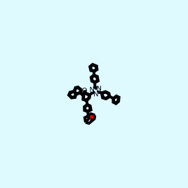 c1ccc(-c2ccc(-c3nc(-c4ccc(-c5ccccc5)cc4)nc(-c4cc(-c5ccc(C67CC8CC(CC(C8)C6)C7)cc5)cc5c4oc4ccc6ccccc6c45)n3)cc2)cc1